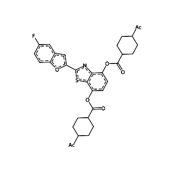 CC(=O)C1CCC(C(=O)Oc2ccc(OC(=O)C3CCC(C(C)=O)CC3)c3sc(-c4cc5cc(F)ccc5o4)nc23)CC1